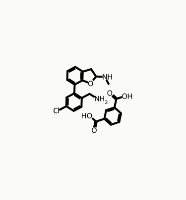 CNC1Cc2cccc(-c3cc(Cl)ccc3CN)c2O1.O=C(O)c1cccc(C(=O)O)c1